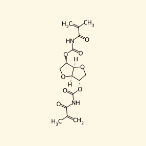 C=C(C)C(=O)NC(=O)O[C@H]1CO[C@H]2[C@@H]1OC[C@H]2OC(=O)NC(=O)C(=C)C